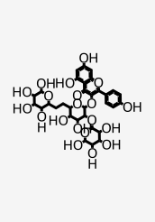 O=c1c(OC2OC(CCC3OC(O)C(O)C(O)C3O)C(O)C(O)C2OC2OC(O)C(O)C(O)C2O)c(-c2ccc(O)cc2)oc2cc(O)cc(O)c12